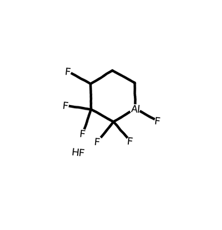 F.FC1C[CH2][Al]([F])[C](F)(F)C1(F)F